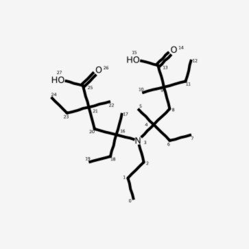 CCCN(C(C)(CC)CC(C)(CC)C(=O)O)C(C)(CC)CC(C)(CC)C(=O)O